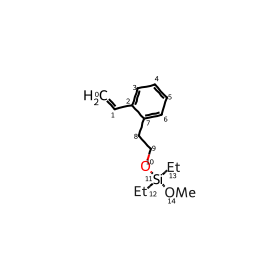 C=Cc1ccccc1CCO[Si](CC)(CC)OC